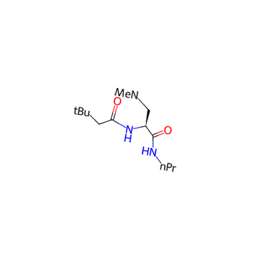 CCCNC(=O)[C@H](CNC)NC(=O)CC(C)(C)C